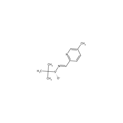 Cc1ccc(/C=N/[S@+]([O-])C(C)(C)C)nc1